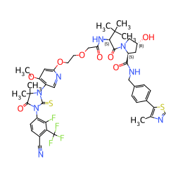 COc1cc(OCCOCC(=O)N[C@H](C(=O)N2C[C@H](O)C[C@H]2C(=O)NCc2ccc(-c3scnc3C)cc2)C(C)(C)C)ncc1N1C(=S)N(c2ccc(C#N)c(C(F)(F)F)c2F)C(=O)C1(C)C